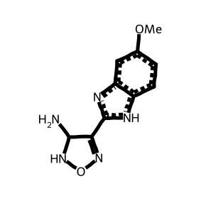 COc1ccc2[nH]c(C3=NONC3N)nc2c1